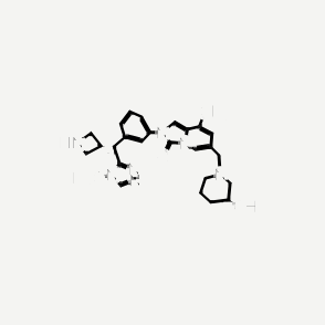 C[C@H]1CCCN(Cc2cc(C(F)(F)F)c3cn(-c4cccc([C@H](c5nncn5C)C5CNC5)c4)c(=O)n3c2)C1